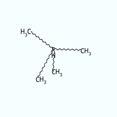 CCCCCCCCCCCCCC[PH](CCCCCCCCC)(CCCCCCCCCCCCCC)CCCCCCCCCCCCCC